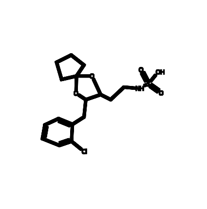 O=S(=O)(O)NCCC1OC2(CCCC2)OC1Cc1ccccc1Cl